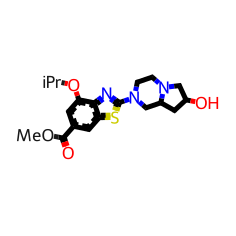 COC(=O)c1cc(OC(C)C)c2nc(N3CCN4CC(O)CC4C3)sc2c1